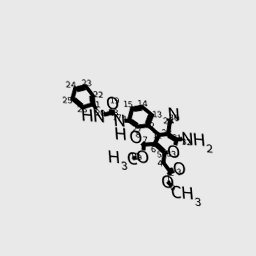 COC(=O)CC1=C(C(=O)OC)C(c2cccc(NC(=O)Nc3ccccc3)c2)C(C#N)=C(N)O1